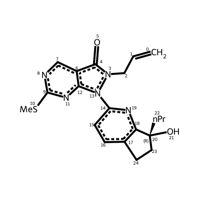 C=CCn1c(=O)c2cnc(SC)nc2n1-c1ccc2c(n1)[C@@](O)(CCC)CC2